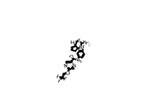 NC1=N[C@@]2(c3cc(NC(=O)c4cnc(OCC(F)(F)F)cn4)ccc3F)CCC[C@H]2CS1